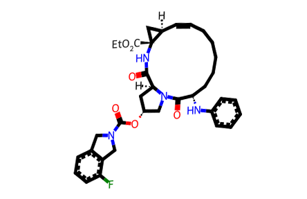 CCOC(=O)[C@@]12C[C@H]1/C=C\CCCCC[C@H](Nc1ccccc1)C(=O)N1C[C@H](OC(=O)N3Cc4cccc(F)c4C3)C[C@H]1C(=O)N2